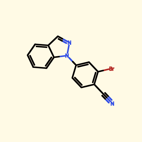 N#Cc1ccc(-n2ncc3ccccc32)cc1Br